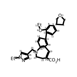 C1CCOC1.CCOc1ccccc1-c1ccc2c(c1)C=C(C(=O)O)CCN2Cc1cnn(CC)c1